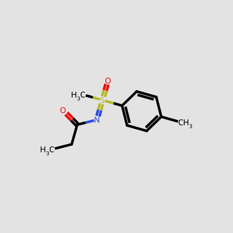 CCC(=O)N=S(C)(=O)c1ccc(C)cc1